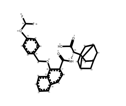 O=C(N[C@H](C(=O)O)C12CC3CC(CC(C3)C1)C2)c1ccc2ccccc2c1OCc1ccc(OC(F)F)cc1